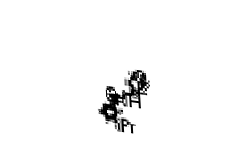 CC(C)c1cccc(C(=O)NCCN2CCOCC2)c1